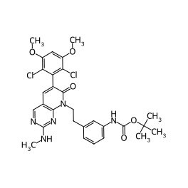 CNc1ncc2cc(-c3c(Cl)c(OC)cc(OC)c3Cl)c(=O)n(CCc3cccc(NC(=O)OC(C)(C)C)c3)c2n1